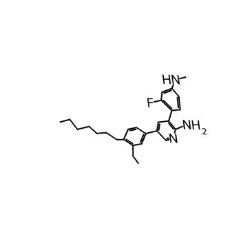 CCCCCCCc1ccc(-c2cnc(N)c(-c3ccc(NC)cc3F)c2)cc1CC